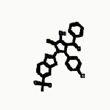 CS(=O)(=O)c1ccc2nc(N3C(=O)C(O)=C(C(=O)c4ccccc4)C3c3ccc(Cl)cc3)sc2c1